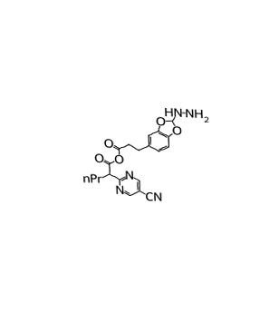 CCCC(C(=O)OC(=O)CCc1ccc2c(c1)OC(NN)O2)c1ncc(C#N)cn1